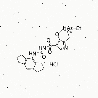 CC[AsH][C@@H]1COc2c(S(=O)(=O)NC(=O)Nc3c4c(cc5c3CCC5)CCC4)cnn2C1.Cl